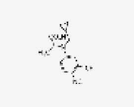 [C-]#[N+]c1ccc(N(CC2CC2)C(C)C(=O)O)cc1C(F)(F)F